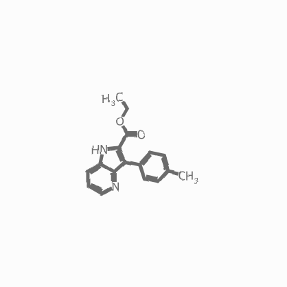 CCOC(=O)c1[nH]c2cccnc2c1-c1ccc(C)cc1